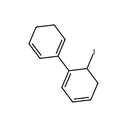 IC1CC=CC=C1C1=CCCC=C1